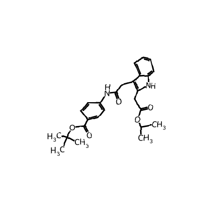 CC(C)OC(=O)Cc1[nH]c2ccccc2c1CC(=O)Nc1ccc(C(=O)OC(C)(C)C)cc1